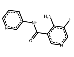 Nc1c(F)cncc1C(=O)Nc1cccnc1